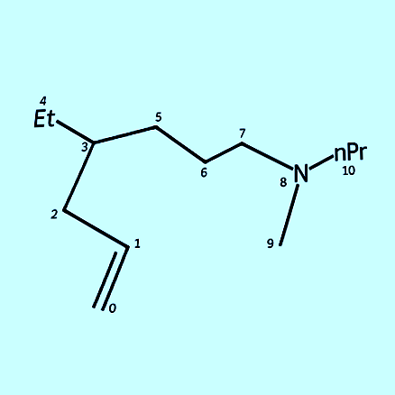 C=CCC(CC)CCCN(C)CCC